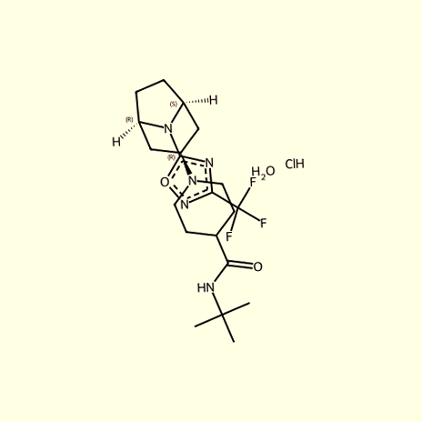 CC(C)(C)NC(=O)C1CCN([C@H]2C[C@H]3CC[C@@H](C2)N3c2nc(C(F)(F)F)no2)CC1.Cl.O